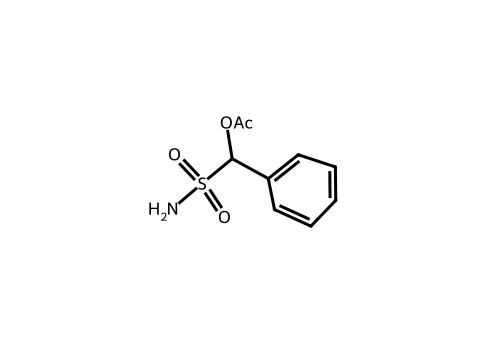 CC(=O)OC(c1ccccc1)S(N)(=O)=O